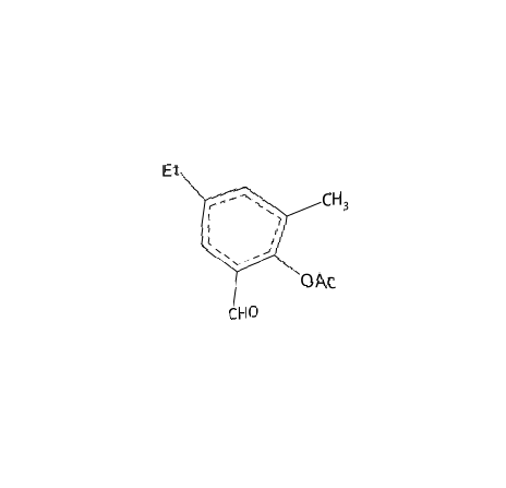 CCc1cc(C)c(OC(C)=O)c(C=O)c1